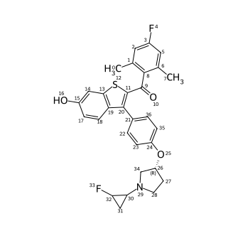 Cc1cc(F)cc(C)c1C(=O)c1sc2cc(O)ccc2c1-c1ccc(O[C@@H]2CCN(C3CC3F)C2)cc1